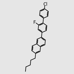 CCCCCc1ccc2cc(-c3ccc(-c4ccc(Cl)cc4)c(F)c3)ccc2c1